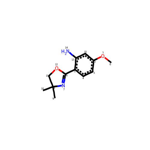 COc1ccc(C2=NC(C)(C)CO2)c(N)c1